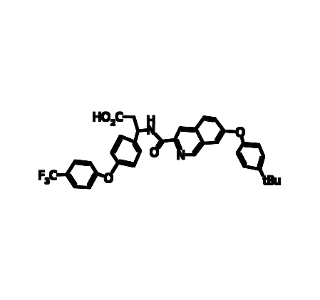 CC(C)(C)c1ccc(Oc2ccc3cc(C(=O)NC(CC(=O)O)c4ccc(Oc5ccc(C(F)(F)F)cc5)cc4)ncc3c2)cc1